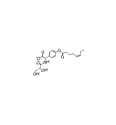 CC/C=C\CCCC(=O)Oc1ccc(C(NC(=O)C(O)CO)C(=O)OC)cc1